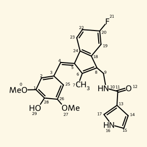 COc1cc(C=C2C(C)=C(CNC(=O)c3cc[nH]c3)c3cc(F)ccc32)cc(OC)c1O